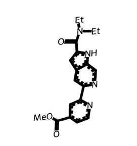 CCN(CC)C(=O)c1cc2cc(-c3cc(C(=O)OC)ccn3)ncc2[nH]1